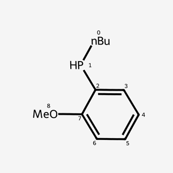 CCCCPc1ccccc1OC